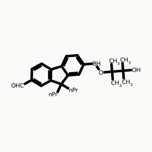 CCCC1(CCC)c2cc(BOC(C)(C)C(C)(C)O)ccc2-c2ccc(C=O)cc21